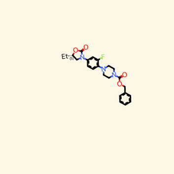 CC[C@H]1CN(c2ccc(N3CCN(C(=O)OCc4ccccc4)CC3)c(F)c2)C(=O)O1